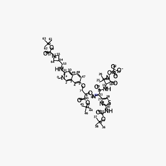 C[n+]1cc2cc(OCC(O/N=C(\C(=O)NC3C(=O)N(OS(=O)(=O)[O-])C3(C)C)c3csc(NC(=O)OC(C)(C)C)n3)C(=O)OC(C)(C)C)ccc2cc1NCC1CN(C(=O)OC(C)(C)C)C1